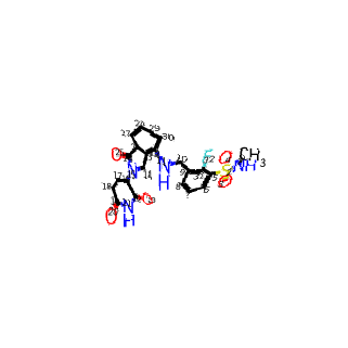 CNS(=O)(=O)c1cccc(CNC2=C3CN(C4CCC(=O)NC4=O)C(=O)C3C=CC=C2)c1F